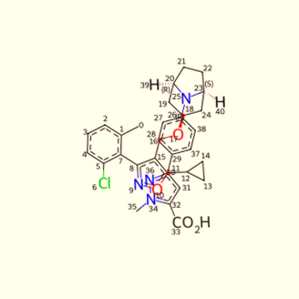 Cc1cccc(Cl)c1-c1noc(C2CC2)c1CO[C@H]1C[C@H]2CC[C@@H](C1)N2c1ccc(-c2cc(C(=O)O)n(C)n2)cc1